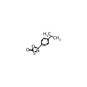 CC(C)c1ccc(-c2nsc(=O)o2)cc1